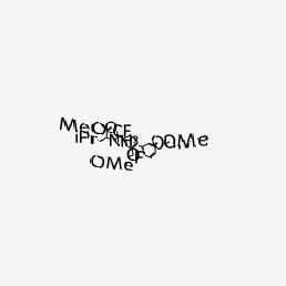 COCOc1ccc(F)c(-c2ccc(C(NC(CC(C)C)C(=O)OC)C(F)(F)F)cc2OCOC)c1